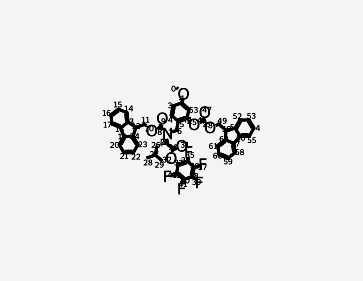 COc1ccc(CN(C(=O)OCC2c3ccccc3-c3ccccc32)[C@@H](CC(C)C)C(=O)Oc2c(F)c(F)c(F)c(F)c2F)c(OC(=O)OCC2c3ccccc3-c3ccccc32)c1